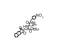 CC(C)C[C@H](N[C@H](CCN1C(=O)c2cc3ccccc3cc2C1=O)C(=O)OC(C)(C)C)C(=O)NCc1ccc([N+](=O)[O-])cc1